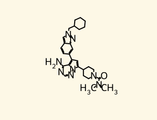 CN(C)C(=O)N1CCC(c2cc(-c3ccc4cn(CC5CCCCC5)nc4c3)c3c(N)ncnn23)CC1